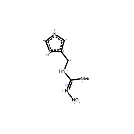 CN/C(=N\[N+](=O)[O-])NCc1cncs1